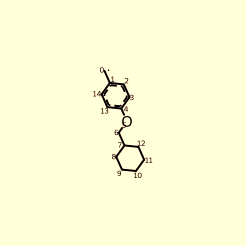 [CH2]c1ccc(OCC2CCCCC2)cc1